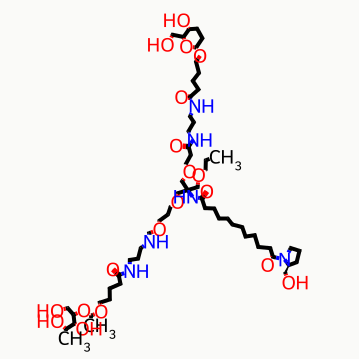 CCCOCC(COCCCOCNCCCNC(=O)CCCCOC(C)OC(CO)C(O)C(C)O)(COCCC(=O)NCCCNC(=O)CCCCOC1CCC(O)C(CO)O1)NC(=O)CCCCCCCCCCC(=O)N1CCC[C@H]1CO